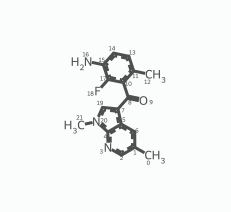 Cc1cnc2c(c1)c(C(=O)c1c(C)ccc(N)c1F)cn2C